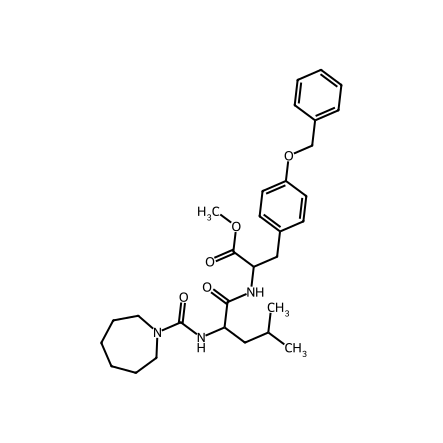 COC(=O)C(Cc1ccc(OCc2ccccc2)cc1)NC(=O)C(CC(C)C)NC(=O)N1CCCCCC1